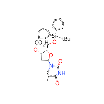 Cc1cn([C@H]2C[C@H](OC(=O)O)[C@@H](CO[Si](c3ccccc3)(c3ccccc3)C(C)(C)C)O2)c(=O)[nH]c1=O